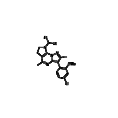 CCC(CC)N1CCc2c(C)nc3c(-c4ccc(Cl)cc4OC)c(C)nn3c21